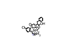 N/N=C\N(N)c1ccc(Cl)cc1N1CC(=O)N(C(Cc2ccccc2)C(=O)O)CC1=O